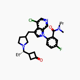 CC[C@@H](C1CC(=O)C1)N1CCC(Cc2cn(-c3ccc(F)cc3C(=O)N(C)C(C)C)c3cncc(Cl)c23)C1